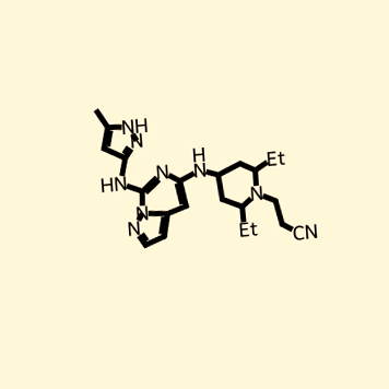 CCC1CC(Nc2cc3ccnn3c(Nc3cc(C)[nH]n3)n2)CC(CC)N1CCC#N